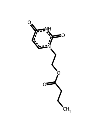 CCCC(=O)OCCn1ccc(=O)[nH]c1=O